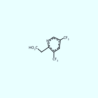 O=C(O)Cc1ncc(C(F)(F)F)cc1C(F)(F)F